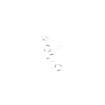 O=C(c1cn(C2CNC2)c2cc(-c3c[nH]nc3Cl)ncc12)C1COc2ccc(F)cc2C1